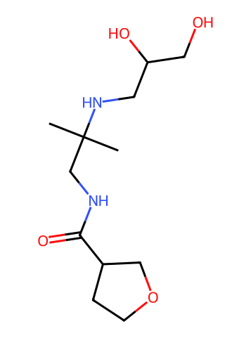 CC(C)(CNC(=O)C1CCOC1)NCC(O)CO